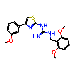 COc1cccc(-c2csc(NC(=N)NCc3c(OC)cccc3OC)n2)c1